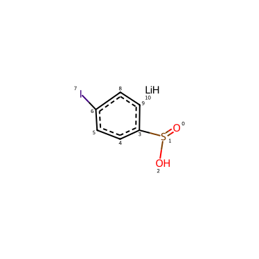 O=S(O)c1ccc(I)cc1.[LiH]